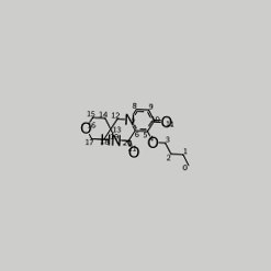 CCCCOc1c2n(ccc1=O)CC1(CCOCC1)NC2=O